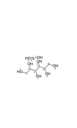 O=S(=O)(O)O.OCC(O)C(O)C(O)C(O)CO